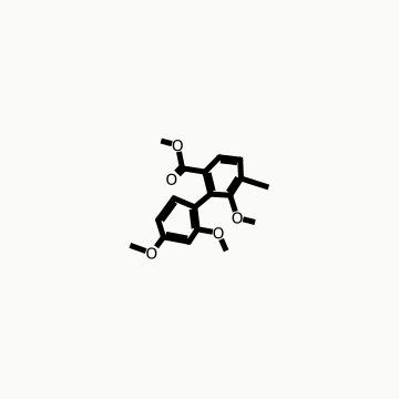 COC(=O)c1ccc(C)c(OC)c1-c1ccc(OC)cc1OC